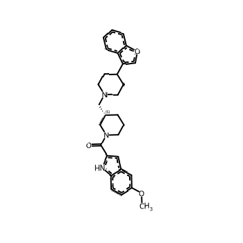 COc1ccc2[nH]c(C(=O)N3CCC[C@@H](CN4CCC(c5coc6ccccc56)CC4)C3)cc2c1